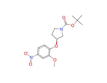 COc1cc([N+](=O)[O-])ccc1O[C@H]1CCN(C(=O)OC(C)(C)C)C1